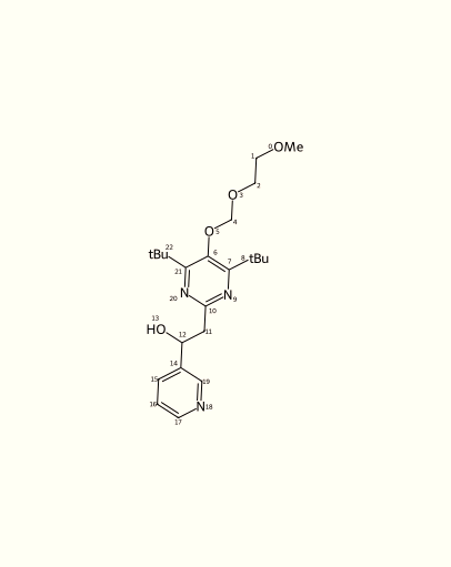 COCCOCOc1c(C(C)(C)C)nc(CC(O)c2cccnc2)nc1C(C)(C)C